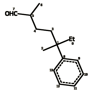 CCC(C)(CCC(C)C=O)c1ccccc1